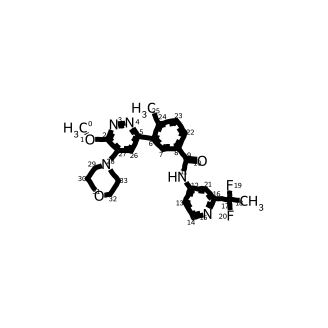 COc1nnc(-c2cc(C(=O)Nc3ccnc(C(C)(F)F)c3)ccc2C)cc1N1CCOCC1